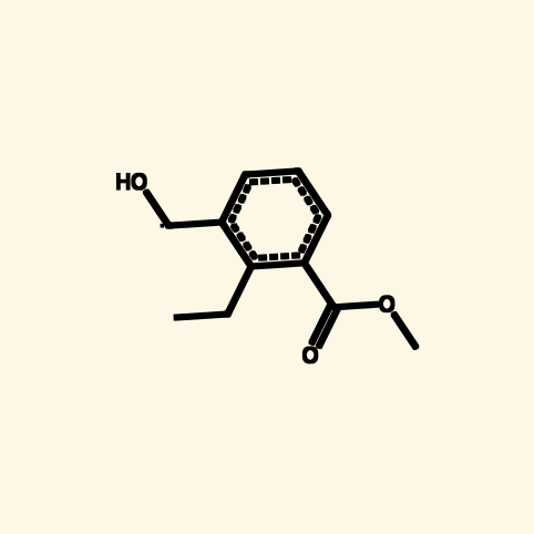 CCc1c([CH]O)cccc1C(=O)OC